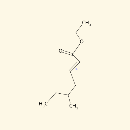 CCOC(=O)/C=C/CC(C)CC